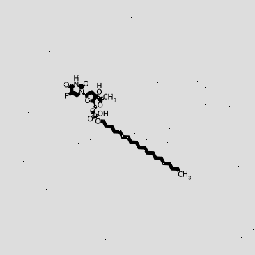 CCCCCCCCCCCCCCCCCCCCOP(=O)(O)OC[C@H]1O[C@@H](n2cc(F)c(=O)[nH]c2=O)C[C@@]1(O)C(C)=O